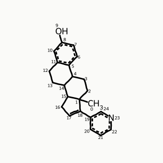 CC12CCC3c4ccc(O)cc4CCC3C1CC=C2c1cccnc1